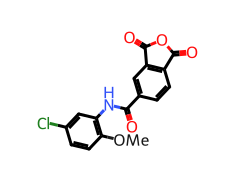 COc1ccc(Cl)cc1NC(=O)c1ccc2c(c1)C(=O)OC2=O